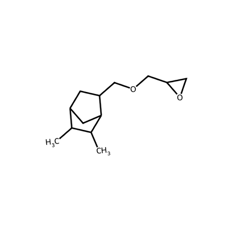 CC1C2CC(COCC3CO3)C(C2)C1C